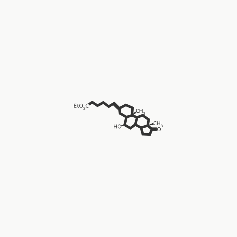 CCOC(=O)CCCC/C=C1/CC[C@]2(C)C3CC[C@]4(C)C(=O)CCC4C3C[C@H](O)C2C1